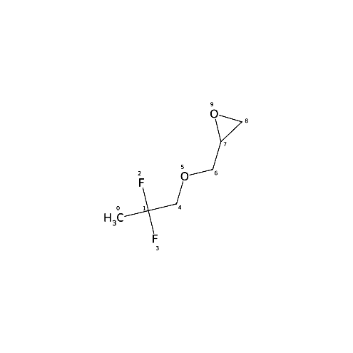 CC(F)(F)COCC1CO1